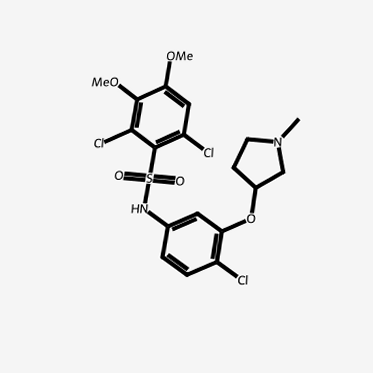 COc1cc(Cl)c(S(=O)(=O)Nc2ccc(Cl)c(OC3CCN(C)C3)c2)c(Cl)c1OC